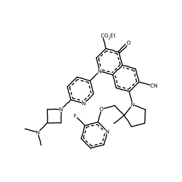 CCOC(=O)c1cn(-c2ccc(N3CC(N(C)C)C3)nc2)c2cc(N3CCCC3(C)COc3ncccc3F)c(C#N)cc2c1=O